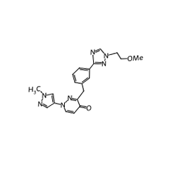 COCCn1cnc(-c2cccc(Cc3nn(-c4cnn(C)c4)ccc3=O)c2)n1